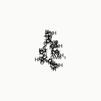 COc1cc(Nc2cnc(-c3ccnc4c3ccn4CCOc3cc(Nc4cnc(-c5ccnc6c5ccn6C)c5c4C(=O)NC5)nc(N4CC[C@@H]5CNC[C@@H]54)c3)c3c2C(=O)NC3)nc(N2CC[C@H]3CNC[C@H]32)c1